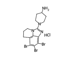 Cl.NC1CCN(c2nc3c(Br)c(Br)c(Br)c4c3n2CCC4)CC1